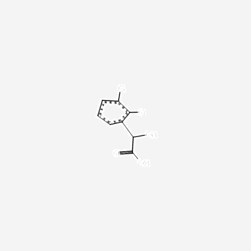 O=C(O)C(O)c1cccc(Cl)c1Cl